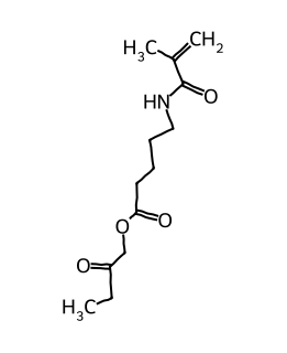 C=C(C)C(=O)NCCCCC(=O)OCC(=O)CC